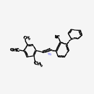 Cc1cc(/C=C/c2cccc(-c3ccccc3)c2C#N)c(C)cc1C=O